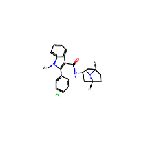 CC(C)n1c(-c2ccccc2)c(C(=O)N[C@H]2C[C@H]3CC[C@@H](C2)N3C)c2ccccc21.Cl